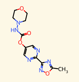 Cc1nc(-c2ncc(OC(=O)NN3CCOCC3)cn2)no1